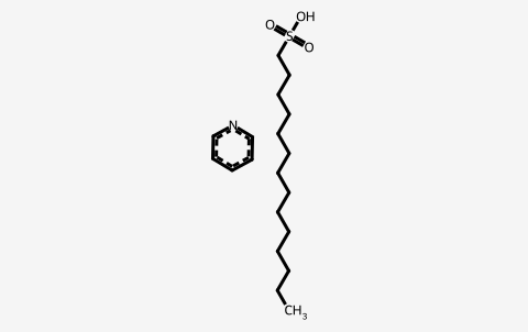 CCCCCCCCCCCCCCS(=O)(=O)O.c1ccncc1